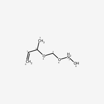 C=CC(C)OCO[SiH2]O